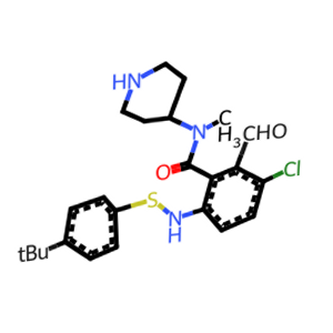 CN(C(=O)c1c(NSc2ccc(C(C)(C)C)cc2)ccc(Cl)c1C=O)C1CCNCC1